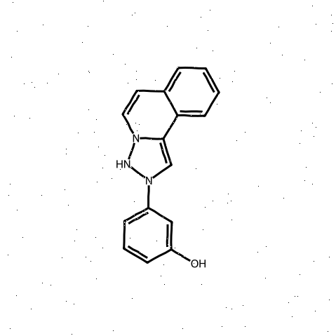 Oc1cccc(N2C=C3c4ccccc4C=CN3N2)c1